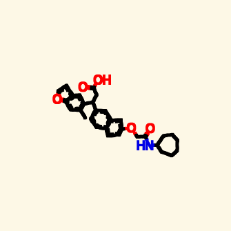 Cc1cc2occc2cc1C(CC(=O)O)c1ccc2ccc(OCC(=O)NC3CCCCCC3)cc2c1